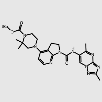 Cc1nc2nc(C)c(NC(=O)N3CCc4c(N5CCN(C(=O)OC(C)(C)C)C(C)(C)C5)ccnc43)cn2n1